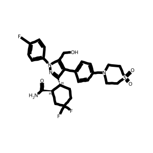 NC(=O)[C@@H]1CC(F)(F)CC[C@H]1c1nn(-c2ccc(F)cc2)c(CO)c1-c1ccc(N2CCS(=O)(=O)CC2)cc1